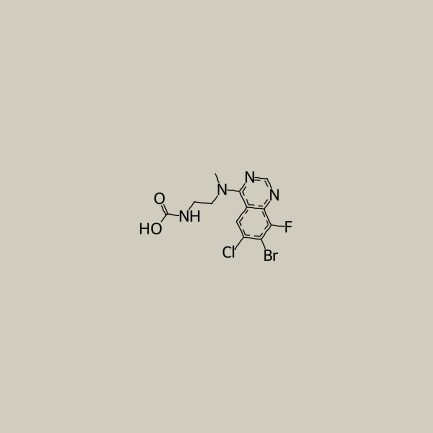 CN(CCNC(=O)O)c1ncnc2c(F)c(Br)c(Cl)cc12